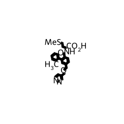 CSCCC(NC(=O)c1ccc(COCc2ccnnc2)cc1-c1ccccc1C)C(=O)O